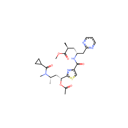 COC(=O)[C@@H](C)C[C@H](Cc1ncccn1)NC(=O)c1csc([C@@H](C[C@H](C)N(C)C(=O)C2CC2)OC(C)=O)n1